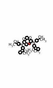 CC(C)c1ccc(N(c2ccc3c(c2)-c2ccccc2C3(C)C)c2cc3oc4ccc5oc6cc(N(c7ccc(C(C)C)cc7)c7ccc8c(c7)-c7ccccc7C8(C)C)c7ccccc7c6c5c4c3c3ccccc23)cc1